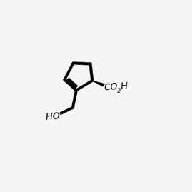 O=C(O)[C@@H]1CCC=C1CO